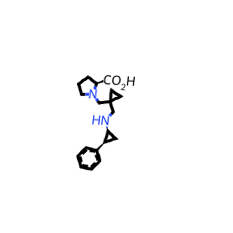 O=C(O)[C@@H]1CCCN1CC1(CN[C@@H]2C[C@H]2c2ccccc2)CC1